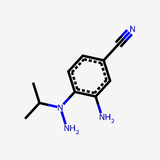 CC(C)N(N)c1ccc(C#N)cc1N